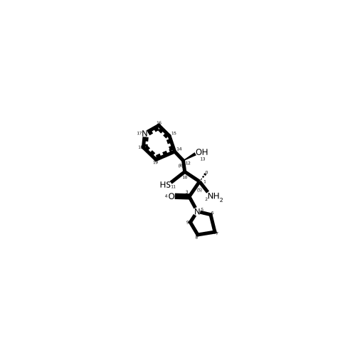 C[C@](N)(C(=O)N1CCCC1)C(S)[C@H](O)c1ccncc1